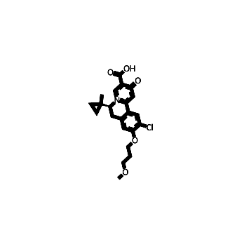 COCCCOc1cc2c(cc1Cl)-c1cc(=O)c(C(=O)O)cn1[C@H](C1(C)CC1)C2